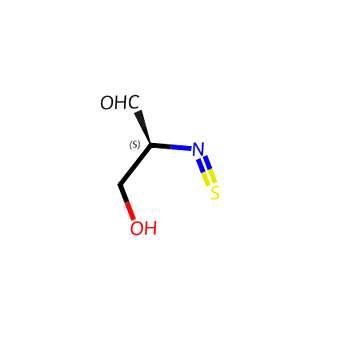 O=C[C@H](CO)N=S